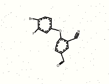 N#Cc1cc(C=O)ccc1Oc1ccc(Br)c(F)c1